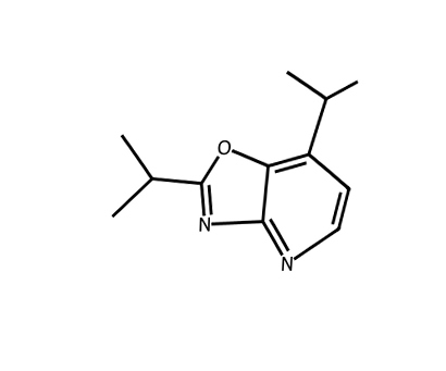 CC(C)c1nc2nccc(C(C)C)c2o1